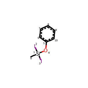 C[Si](I)(I)Oc1ccccc1